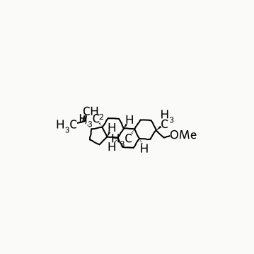 C=C(C)[C@H]1CC[C@H]2[C@@H]3CC[C@@H]4C[C@@](C)(COC)CC[C@]4(C)[C@H]3CC[C@]12C